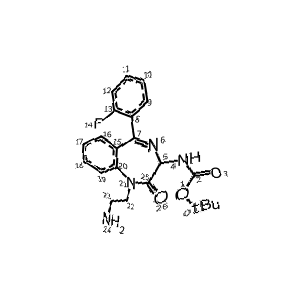 CC(C)(C)OC(=O)NC1N=C(c2ccccc2F)c2ccccc2N(CCN)C1=O